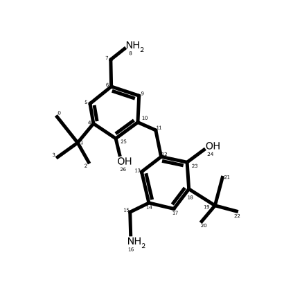 CC(C)(C)c1cc(CN)cc(Cc2cc(CN)cc(C(C)(C)C)c2O)c1O